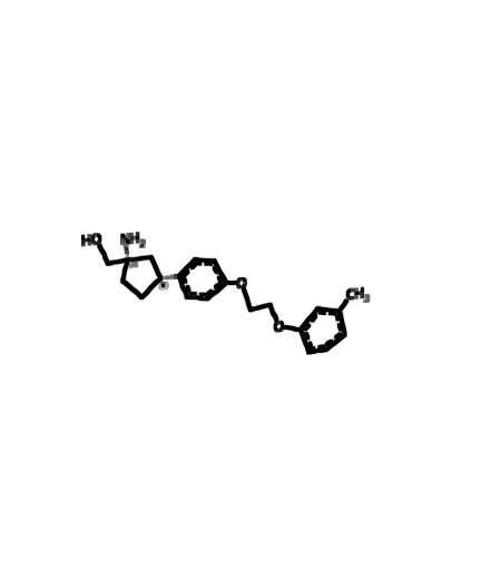 Cc1cccc(OCCOc2ccc([C@@H]3CC[C@@](N)(CO)C3)cc2)c1